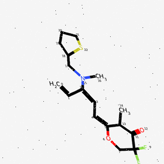 C=C/C(=C\C=C1\OCC(F)(F)C(=O)C1C)N(C)CC1CCCS1